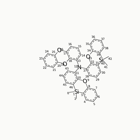 C[Si]1(C)c2ccccc2Oc2c(N(c3cccc4c3Oc3ccccc3O4)c3cccc4c3Oc3ccccc3[Si]4(C)C)cccc21